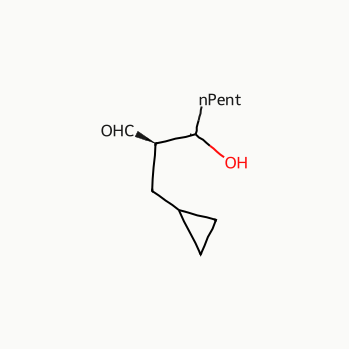 CCCCC[C](O)[C@H](C=O)CC1CC1